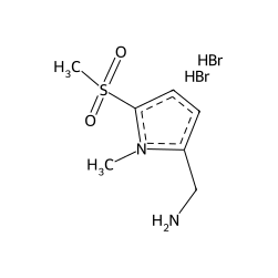 Br.Br.Cn1c(CN)ccc1S(C)(=O)=O